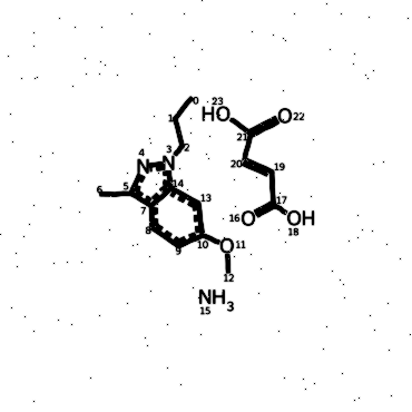 CCCn1nc(C)c2ccc(OC)cc21.N.O=C(O)C=CC(=O)O